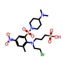 Cc1cc([N+](=O)[O-])cc(S(=O)(=O)N2CCC(N(C)C)CC2)c1N(CCBr)CCCS(=O)(=O)O